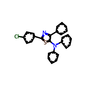 Clc1ccc(-c2nc(-c3ccccc3)c(N(c3ccccc3)c3ccccc3)s2)cc1